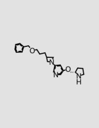 c1ccc(COCCCC2CN(c3cncc(OC[C@@H]4CCCN4)c3)C2)cc1